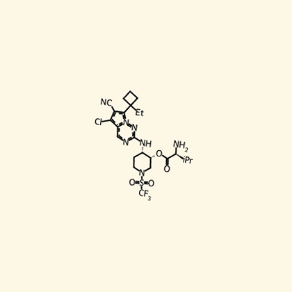 CCC1(c2c(C#N)c(Cl)c3cnc(N[C@H]4CCN(S(=O)(=O)C(F)(F)F)C[C@H]4OC(=O)[C@@H](N)C(C)C)nn23)CCC1